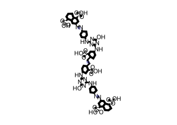 O=S(=O)(O)c1cc(Nc2nc(O)nc(Nc3ccc(/N=N/c4cc(S(=O)(=O)O)c5cccc(S(=O)(=O)O)c5c4)cc3)n2)ccc1/C=C/c1ccc(Nc2nc(O)nc(Nc3ccc(/N=N/c4cc(S(=O)(=O)O)c5cccc(S(=O)(=O)O)c5c4)cc3)n2)cc1S(=O)(=O)O